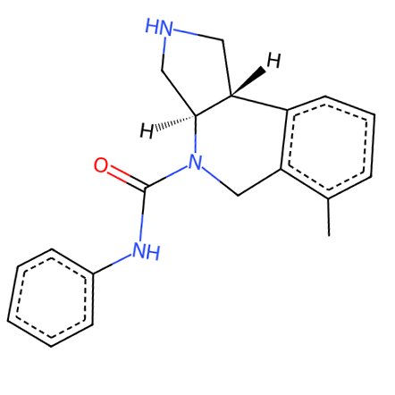 Cc1cccc2c1CN(C(=O)Nc1ccccc1)[C@H]1CNC[C@H]21